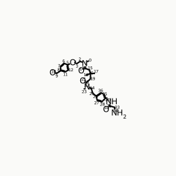 CN(CCOc1ccc(C=O)cc1)C(=O)CC(C)(C)CC(=O)N(C)CCc1ccc(NC(=O)CN)cc1